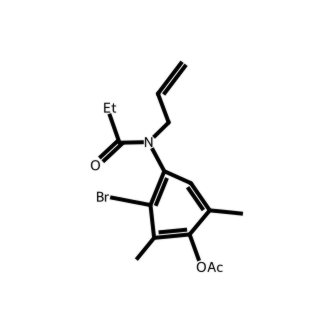 C=CCN(C(=O)CC)c1cc(C)c(OC(C)=O)c(C)c1Br